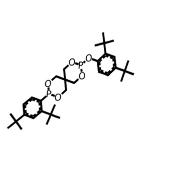 CC(C)(C)c1ccc(OP2OCC3(CO2)COP(c2ccc(C(C)(C)C)cc2C(C)(C)C)OC3)c(C(C)(C)C)c1